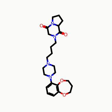 O=C1C2CCCN2C(=O)CN1CCCCN1CCN(c2cccc3c2OCCCO3)CC1